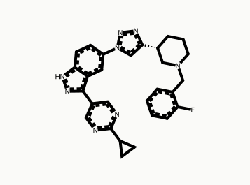 Fc1ccccc1CN1CCC[C@@H](c2cn(-c3ccc4[nH]nc(-c5cnc(C6CC6)nc5)c4c3)nn2)C1